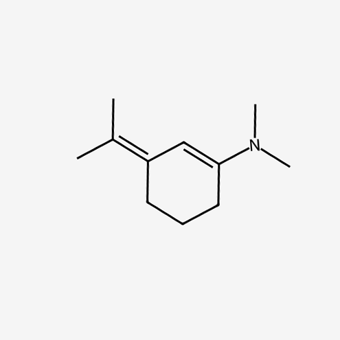 CC(C)=C1C=C(N(C)C)CCC1